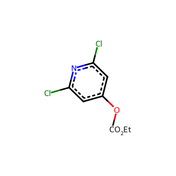 CCOC(=O)Oc1cc(Cl)nc(Cl)c1